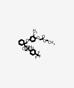 CCOC(=O)COc1ccc(OCC2(C34NN(c5ccc(C(F)(F)F)cc5)C(O3)N4C)C=CC=CC2)cc1C